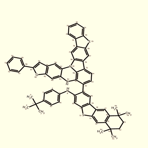 CC(C)(C)c1ccc(Nc2cc3sc4cc5c(cc4c3cc2-c2ccc3c4cc6sc7ccccc7c6cc4n4c3c2Bc2cc3oc(-c6ccccc6)cc3cc2-4)C(C)(C)CCC5(C)C)cc1